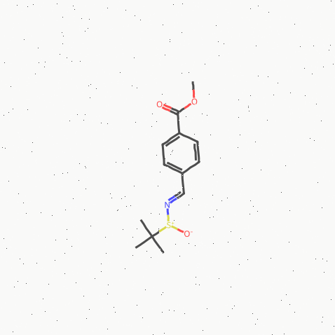 COC(=O)c1ccc(/C=N/[S+]([O-])C(C)(C)C)cc1